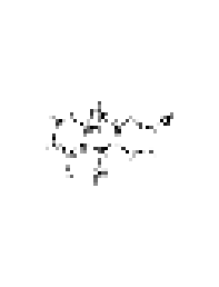 OB(c1ccc(Cl)cc1F)C1C(Cl)=CC=CC1(F)Br